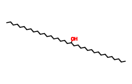 CCCCCCCCCCCCCCCCCCCC(O)CCCCCCCCCCCCCCCC